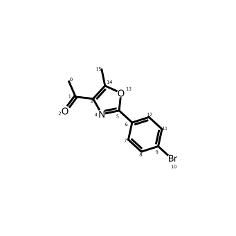 CC(=O)c1nc(-c2ccc(Br)cc2)oc1C